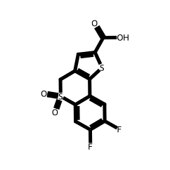 O=C(O)c1cc2c(s1)-c1cc(F)c(F)cc1S(=O)(=O)C2